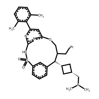 Cc1cccc(C)c1-c1cc2nc(n1)NS(=O)(=O)c1cccc(c1)C([C@H]1C[C@@H](CN(C)C)C1)C(CC(C)C)CO2